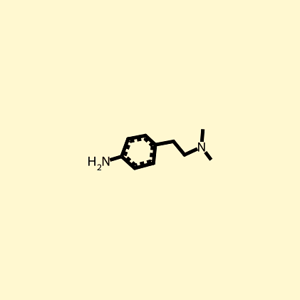 CN(C)CCc1ccc(N)cc1